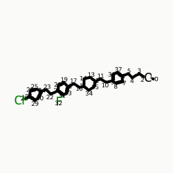 CCCCCCc1ccc(CCC2CCC(CCc3ccc(CCc4ccc(Cl)cc4)c(F)c3)CC2)cc1